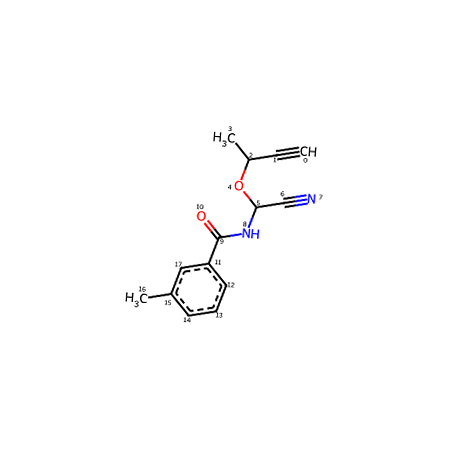 C#CC(C)OC(C#N)NC(=O)c1cccc(C)c1